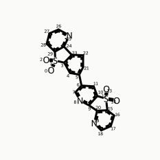 O=S1(=O)c2cc(-c3cnc4c(c3)S(=O)(=O)c3cccnc3-4)ccc2-c2ncccc21